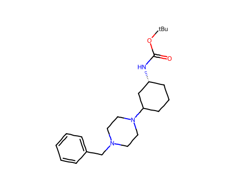 CC(C)(C)OC(=O)N[C@@H]1CCCC(N2CCN(Cc3ccccc3)CC2)C1